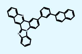 c1cc(-c2ccc3ccccc3c2)cc(-c2ccc3c(c2)c2nc4ccccc4cc2c2nc4ccccc4n32)c1